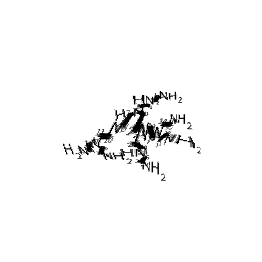 NCCNCCN(CCNCCN(CCN)CCN)CCN(CCNCCN)CCN(CCN)CCN